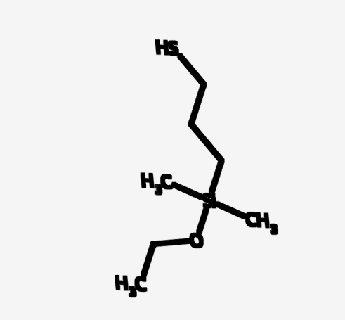 CCO[Si](C)(C)CCCS